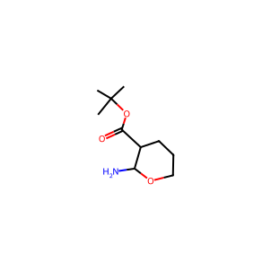 CC(C)(C)OC(=O)C1CCCOC1N